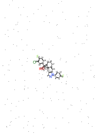 C[C@]12Cc3cnn(-c4ccc(F)cc4)c3C=C1CCC[C@@H]2[C@@H](O)c1ccc(F)c(Cl)c1